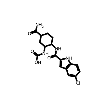 NC(=O)C1CCC(NC(=O)c2cc3cc(Cl)ccc3[nH]2)C(NC(=O)O)C1